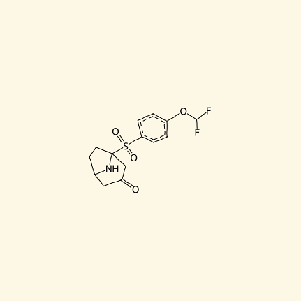 O=C1CC2CCC(S(=O)(=O)c3ccc(OC(F)F)cc3)(C1)N2